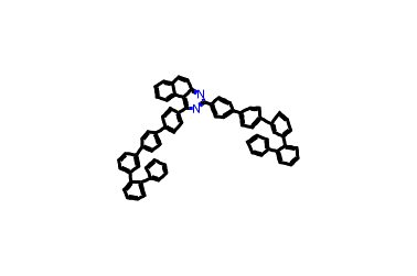 c1ccc(-c2ccccc2-c2cccc(-c3ccc(-c4ccc(-c5nc(-c6ccc(-c7ccc(-c8cccc(-c9ccccc9-c9ccccc9)c8)cc7)cc6)c6c(ccc7ccccc76)n5)cc4)cc3)c2)cc1